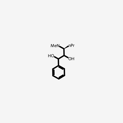 CCC[C@H](NC)C(O)C(O)c1ccccc1